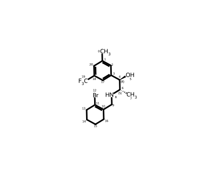 Cc1cc([C@@H](O)[C@H](C)NCC2=C(Br)CCCC2)cc(C(F)(F)F)c1